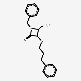 CCOC(=O)[C@H]1[C@@H](OCCCc2ccccc2)C(=O)N1Cc1ccccc1